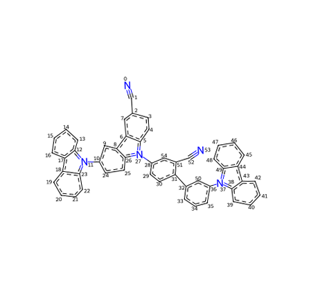 N#Cc1ccc2c(c1)c1cc(-n3c4ccccc4c4ccccc43)ccc1n2-c1ccc(-c2cccc(-n3c4ccccc4c4ccccc43)c2)c(C#N)c1